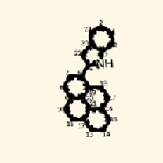 c1ccc2[nH]c(-c3ccc4ccc5cccc6ccc3c4c56)cc2c1